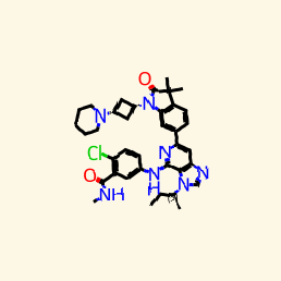 CC[C@H](C)n1cnc2cc(-c3ccc4c(c3)N([C@H]3C[C@@H](N5CCCCC5)C3)C(=O)C4(C)C)nc(Nc3ccc(Cl)c(C(=O)NC)c3)c21